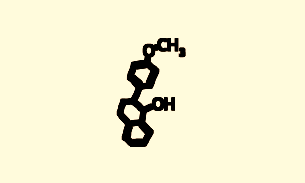 COc1ccc(C2CCc3ccccc3C2O)cc1